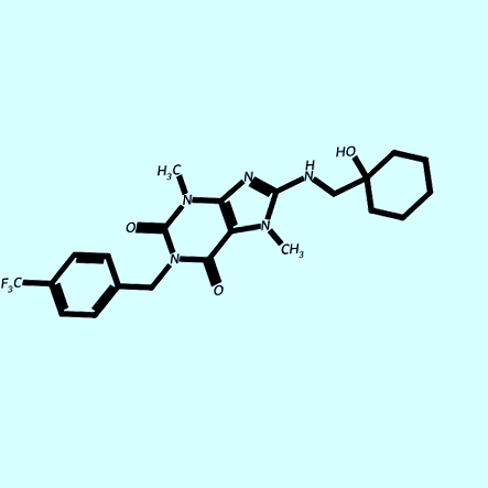 Cn1c(NCC2(O)CCCCC2)nc2c1c(=O)n(Cc1ccc(C(F)(F)F)cc1)c(=O)n2C